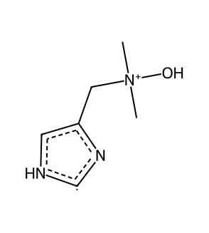 C[N+](C)(O)Cc1c[nH][c]n1